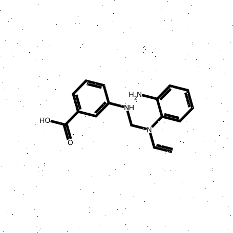 C=CN(CNc1cccc(C(=O)O)c1)c1ccccc1N